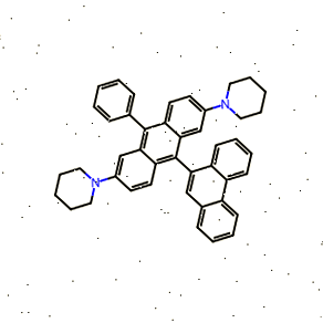 c1ccc(-c2c3cc(N4CCCCC4)ccc3c(-c3cc4ccccc4c4ccccc34)c3cc(N4CCCCC4)ccc23)cc1